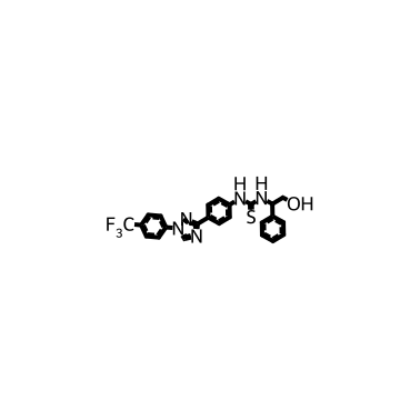 OCC(NC(=S)Nc1ccc(-c2ncn(-c3ccc(C(F)(F)F)cc3)n2)cc1)c1ccccc1